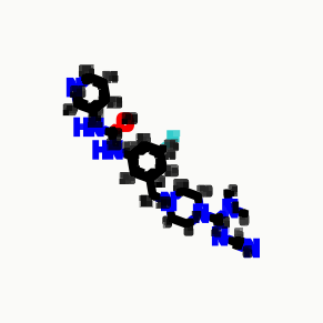 CN(C)/C(=N\C#N)N1CCN(Cc2cc(F)cc(NC(=O)Nc3cccnc3)c2)CC1